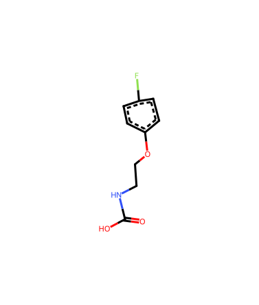 O=C(O)NCCOc1ccc(F)cc1